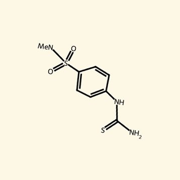 CNS(=O)(=O)c1ccc(NC(N)=S)cc1